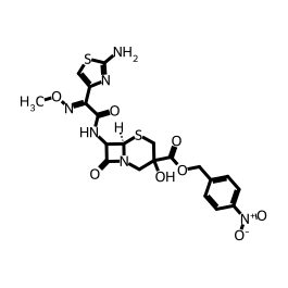 CON=C(C(=O)NC1C(=O)N2CC(O)(C(=O)OCc3ccc([N+](=O)[O-])cc3)CS[C@H]12)c1csc(N)n1